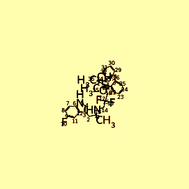 CC(Cc1c[nH]c2ccc(F)cc12)NCC(F)(F)CO[Si](c1ccccc1)(c1ccccc1)C(C)(C)C